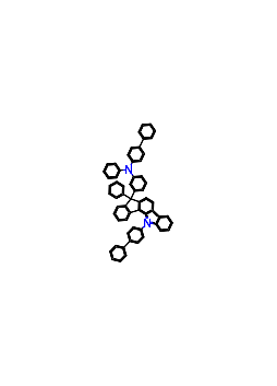 c1ccc(-c2ccc(N(c3ccccc3)c3cccc(C4(c5ccccc5)c5ccccc5-c5c4ccc4c6ccccc6n(-c6ccc(-c7ccccc7)cc6)c54)c3)cc2)cc1